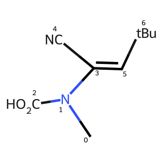 CN(C(=O)O)/C(C#N)=C/C(C)(C)C